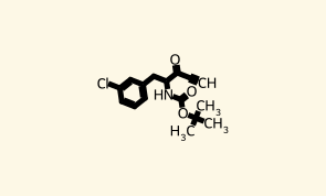 C#CC(=O)C(Cc1cccc(Cl)c1)NC(=O)OC(C)(C)C